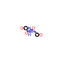 COc1cccc(CNC(=O)c2nc3ccc(OC)cc3c(=O)[nH]2)c1